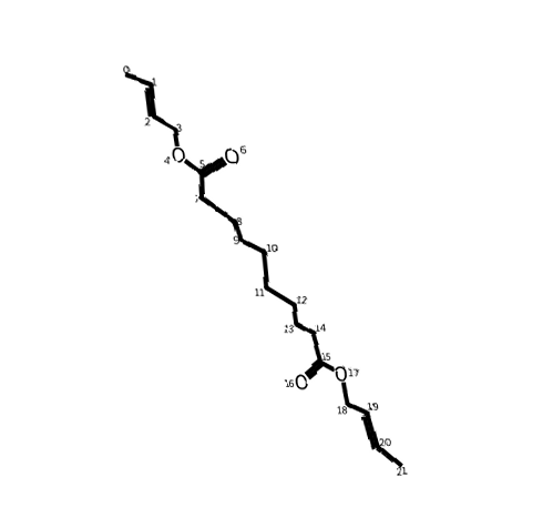 CC=CCOC(=O)CCCCCCCCC(=O)OCC=CC